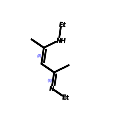 CC/N=C(C)/C=C(/C)NCC